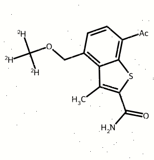 [2H]C([2H])([2H])OCc1ccc(C(C)=O)c2sc(C(N)=O)c(C)c12